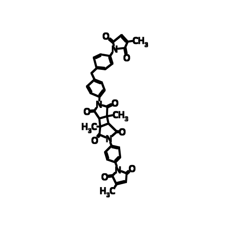 CC1=CC(=O)N(c2ccc(Cc3ccc(N4C(=O)C5C(C)(C4=O)C4C(=O)N(c6ccc(N7C(=O)C=C(C)C7=O)cc6)C(=O)C54C)cc3)cc2)C1=O